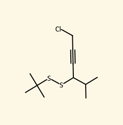 CC(C)C(C#CCCl)SSC(C)(C)C